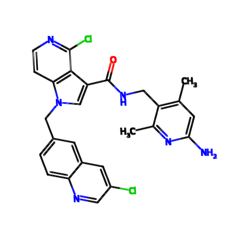 Cc1cc(N)nc(C)c1CNC(=O)c1cn(Cc2ccc3ncc(Cl)cc3c2)c2ccnc(Cl)c12